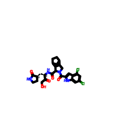 O=C(N[C@@H](C[C@@H]1CCNC1=O)C(=O)CO)C1C2C3CCC(C3)C2CN1C(=O)c1cc2c(Cl)cc(Cl)cc2[nH]1